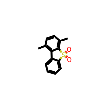 Cc1ccc(C)c2c1-c1ccccc1S2(=O)=O